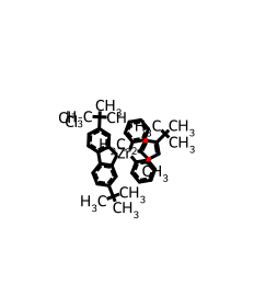 [CH2]=[Zr+2]([C]1=CC(C(C)(C)C)=CC1C)([c]1ccccc1)([c]1ccccc1)[CH]1c2cc(C(C)(C)C)ccc2-c2ccc(C(C)(C)C)cc21.[Cl-].[Cl-]